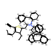 C#CC1=C(/C=C\C)C(CC)C(CC(C)N(C2=C(c3ccccc3)C=CCC2)C2C=CC3=C(C2)c2c4cccc2-c2cccc3c2-c2ccccc2-4)S1